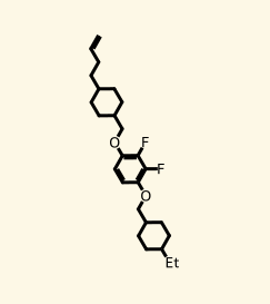 C=CCCC1CCC(COc2ccc(OCC3CCC(CC)CC3)c(F)c2F)CC1